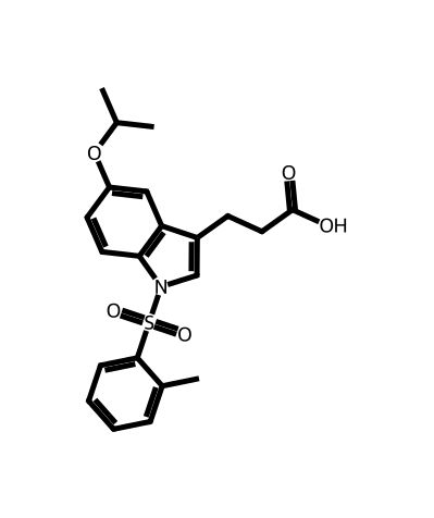 Cc1ccccc1S(=O)(=O)n1cc(CCC(=O)O)c2cc(OC(C)C)ccc21